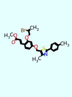 C=C(Br)COc1cc(OCc2sc(-c3ccc(C)cc3)nc2C)ccc1C=CC(=O)OC